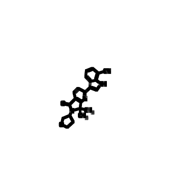 CC1(C)c2nc(-c3c[nH]c4c(C#N)cccc34)ccc2C(=O)N1C1CCOC1